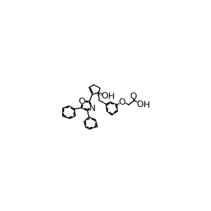 O=C(O)COc1cccc(C[C@]2(O)CCC=C2c2nc(-c3ccccc3)c(-c3ccccc3)o2)c1